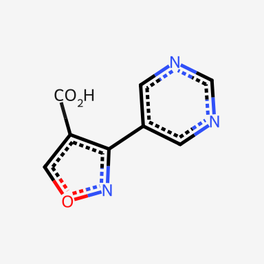 O=C(O)c1conc1-c1cncnc1